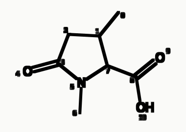 CC1CC(=O)N(C)C1C(=O)O